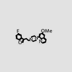 COc1cc(N2CCN(CCc3coc4ccc(F)cc34)CC2)c2ncccc2c1